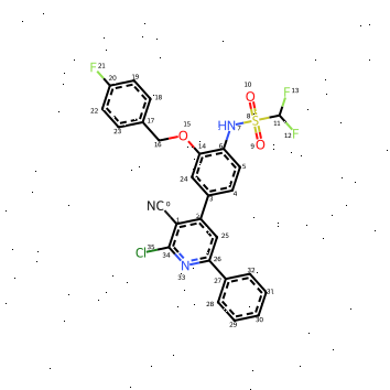 N#Cc1c(-c2ccc(NS(=O)(=O)C(F)F)c(OCc3ccc(F)cc3)c2)cc(-c2ccccc2)nc1Cl